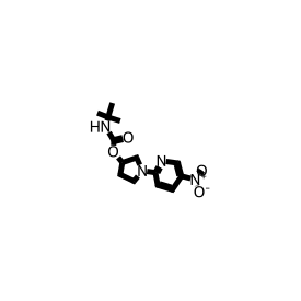 CC(C)(C)NC(=O)OC1CCN(c2ccc([N+](=O)[O-])cn2)C1